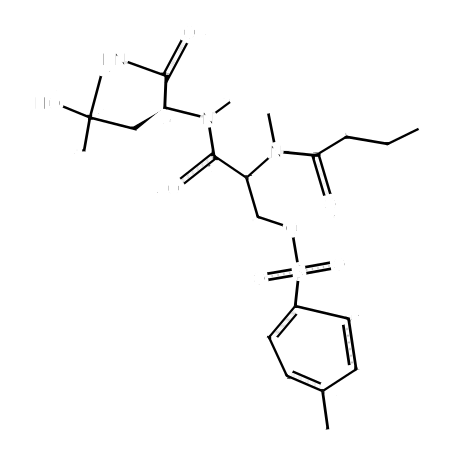 CCCC(=O)N(C)C(COS(=O)(=O)c1ccc(C)cc1)C(=O)N(C)[C@@H](CC(C)(C)O)C(N)=O